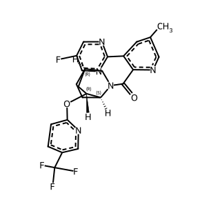 Cc1cnc(C(=O)N2C[C@@H]3CC[C@H]2[C@H](Oc2ccc(C(F)(F)F)cn2)C3)c(-c2ncc(F)cn2)c1